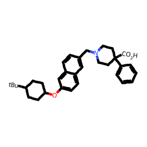 CC(C)(C)C1CCC(Oc2ccc3cc(CN4CCC(C(=O)O)(c5ccccc5)CC4)ccc3c2)CC1